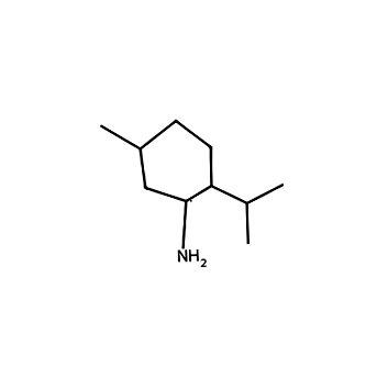 CC1CCC(C(C)C)[C](N)C1